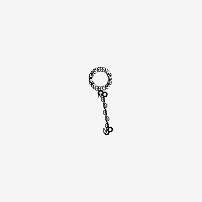 C1COCCOCCOCCOCCOCCOCCOCCO1.c1cnc2c(OCCOCCOCCOCCOc3cccc4cccnc34)cccc2c1